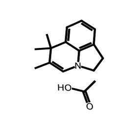 CC(=O)O.CC1=CN2CCc3cccc(c32)C1(C)C